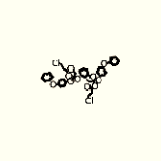 CCC(OC(=O)CCCl)(Oc1ccc(Oc2ccccc2)cc1)Oc1cccc(OC(CC)(OC(=O)CCCl)Oc2ccc(Oc3ccccc3)cc2)c1